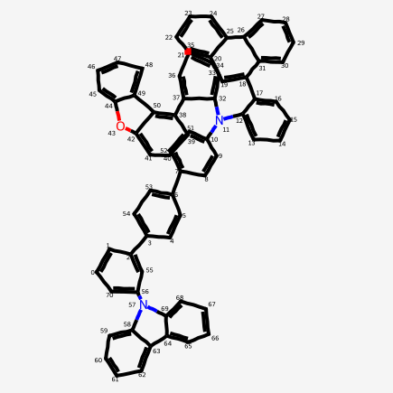 c1cc(-c2ccc(-c3ccc(N(c4ccccc4-c4cc5ccccc5c5ccccc45)c4ccccc4-c4cccc5oc6ccccc6c45)cc3)cc2)cc(-n2c3ccccc3c3ccccc32)c1